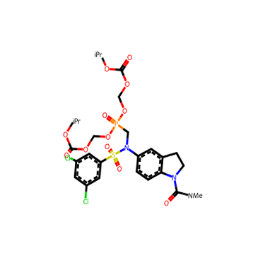 CNC(=O)N1CCc2cc(N(CP(=O)(OCOC(=O)OC(C)C)OCOC(=O)OC(C)C)S(=O)(=O)c3cc(Cl)cc(Cl)c3)ccc21